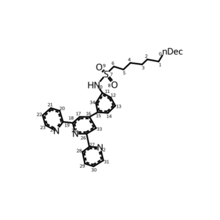 CCCCCCCCCCCCCCCCS(=O)(=O)Nc1cccc(-c2cc(-c3ccccn3)nc(-c3ccccn3)c2)c1